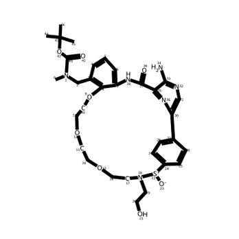 CN(Cc1cccc2c1OCCOCCOCCN(CCO)[S+]([O-])c1ccc(cc1)-c1cnc(N)c(n1)C(=O)N2)C(=O)OC(C)(C)C